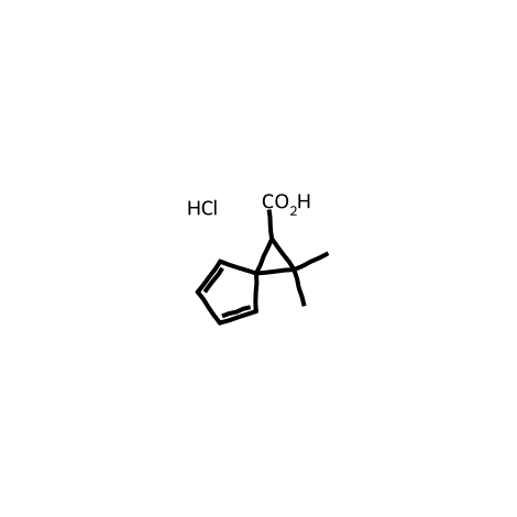 CC1(C)C(C(=O)O)C12C=CC=C2.Cl